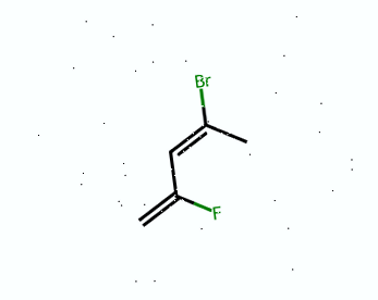 C=C(F)/C=C(\C)Br